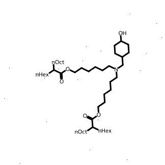 CCCCCCCCC(CCCCCC)C(=O)OCCCCCCN(CCCCCCOC(=O)C(CCCCCC)CCCCCCCC)CC1CCC(O)CC1